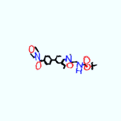 C/C=C(\C=C(/CC)C1=CC=C(C(=O)N2CCOCC2)CC1)CN(C)C(=O)CNC(=O)OC(C)(C)C